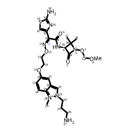 COSON1C(=O)[C@@H](NC(=O)/C(=N\OCCOc2ccc3c(c2)cn(CCCN)[n+]3C)c2csc(N)n2)C1(C)C